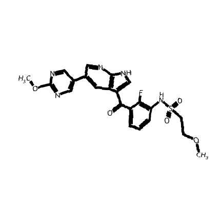 COCCS(=O)(=O)Nc1cccc(C(=O)c2c[nH]c3ncc(-c4cnc(OC)nc4)cc23)c1F